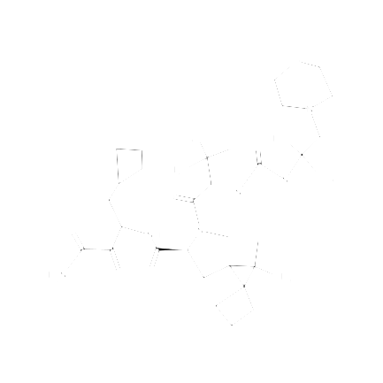 CC(C)(CN1CCOCC1)NC(=O)N[C@H](C(=O)N1C[C@]2(C[C@H]1C(=O)NC(CC1CCC1)C(=O)C(N)=O)C(C)(C)C21CCC1)C(C)(C)C